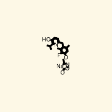 Cc1cc(OC[C]2=NO[C](=O)[Na]2)c(F)c(C)c1Cc1ccc(O)c(C(C)C)n1